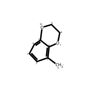 [CH2]c1cccc2c1OCCO2